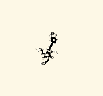 C#CCn1c(=O)c2c(nc(C#Cc3cccc(OC)c3)n2C)n(CC=C)c1=O